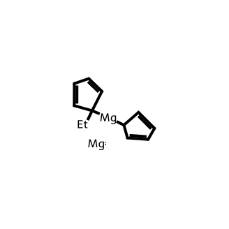 CC[C]1([Mg][CH]2C=CC=C2)C=CC=C1.[Mg]